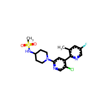 Cc1cc(F)cnc1-c1cc(N2CCC(NS(C)(=O)=O)CC2)ncc1Cl